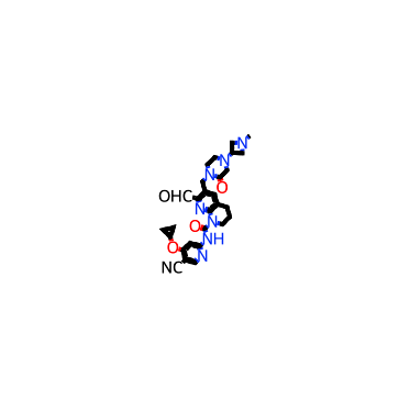 CN1CC(N2CCN(Cc3cc4c(nc3C=O)N(C(=O)Nc3cc(OC5CC5)c(C#N)cn3)CCC4)C(=O)C2)C1